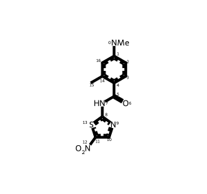 CNc1ccc(C(=O)Nc2ncc([N+](=O)[O-])s2)c(C)c1